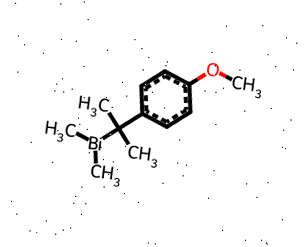 COc1ccc([C](C)(C)[Bi]([CH3])[CH3])cc1